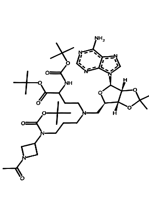 CC(=O)N1CC(N(CCCN(CCC(NC(=O)OC(C)(C)C)C(=O)OC(C)(C)C)C[C@H]2O[C@@H](n3cnc4c(N)ncnc43)[C@@H]3OC(C)(C)O[C@@H]32)C(=O)OC(C)(C)C)C1